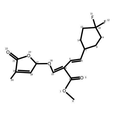 COC(=O)C(/C=C/C1CCC(F)(F)CC1)=C/OC1C=C(C)C(=O)O1